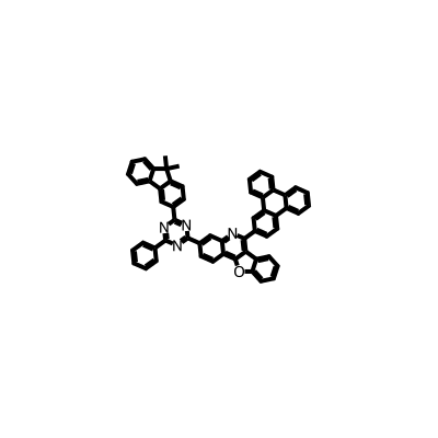 CC1(C)c2ccccc2-c2cc(-c3nc(-c4ccccc4)nc(-c4ccc5c(c4)nc(-c4ccc6c7ccccc7c7ccccc7c6c4)c4c6ccccc6oc54)n3)ccc21